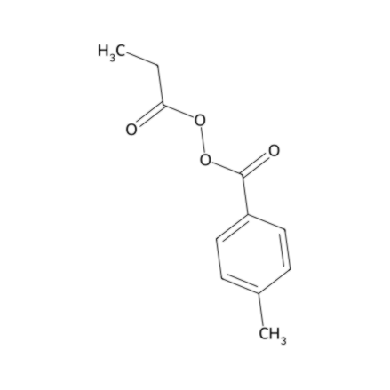 CCC(=O)OOC(=O)c1ccc(C)cc1